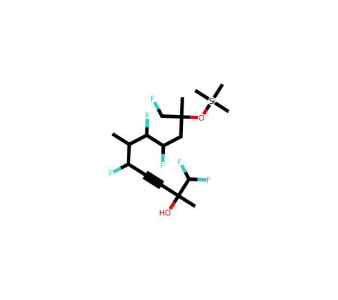 CC(C(F)C#CC(C)(O)C(F)F)C(F)C(F)CC(C)(CF)O[Si](C)(C)C